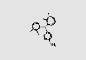 Cc1cccc(N(c2ccc(N)cc2)c2cccc(C)c2C)c1C